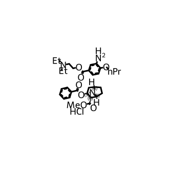 CCCOc1ccc(C(=O)OCCN(CC)CC)cc1N.COC(=O)[C@H]1[C@@H](OC(=O)c2ccccc2)C[C@@H]2CC[C@H]1N2C.Cl